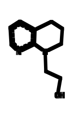 OCCN1CCCc2cccnc21